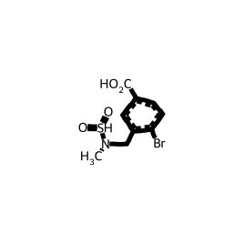 CN(Cc1cc(C(=O)O)ccc1Br)[SH](=O)=O